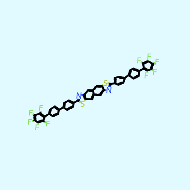 Fc1c(F)c(F)c(-c2ccc(-c3ccc(-c4nc5cc6cc7sc(-c8ccc(-c9ccc(-c%10c(F)c(F)c(F)c(F)c%10F)cc9)cc8)nc7cc6cc5s4)cc3)cc2)c(F)c1F